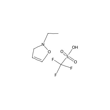 CCN1CC=CO1.O=S(=O)(O)C(F)(F)F